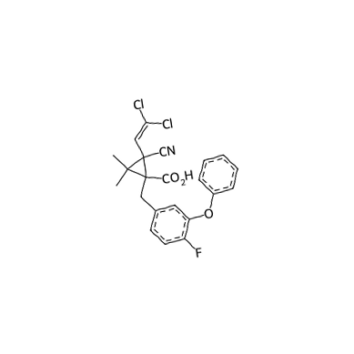 CC1(C)C(C#N)(C=C(Cl)Cl)C1(Cc1ccc(F)c(Oc2ccccc2)c1)C(=O)O